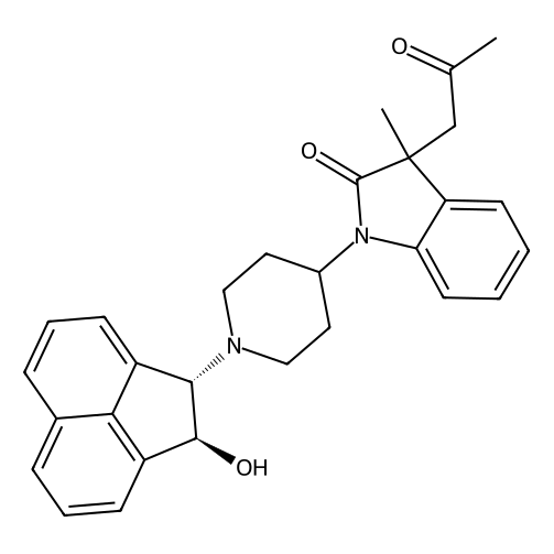 CC(=O)CC1(C)C(=O)N(C2CCN([C@H]3c4cccc5cccc(c45)[C@@H]3O)CC2)c2ccccc21